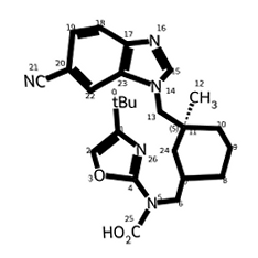 CC(C)(C)c1coc(N(CC2CCC[C@](C)(Cn3cnc4ccc(C#N)cc43)C2)C(=O)O)n1